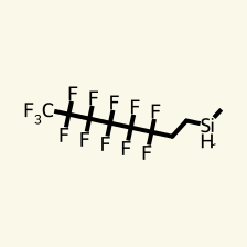 C[SiH](C)CCC(F)(F)C(F)(F)C(F)(F)C(F)(F)C(F)(F)C(F)(F)F